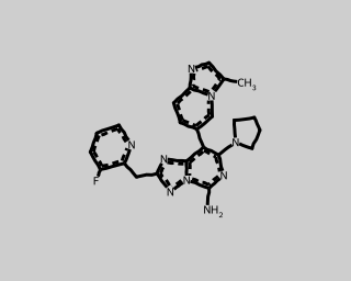 Cc1cnc2ccc(-c3c(N4CCCC4)nc(N)n4nc(Cc5ncccc5F)nc34)cn12